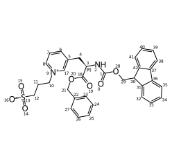 O=C(N[C@H](Cc1ccc[n+](CCCS(=O)(=O)[O-])c1)C(=O)OCc1ccccc1)OCC1c2ccccc2-c2ccccc21